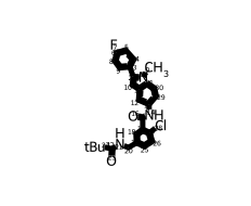 Cn1c(-c2ccc(F)cc2)cc2cc(NC(=O)c3cc(CNC(=O)C(C)(C)C)ccc3Cl)ccc21